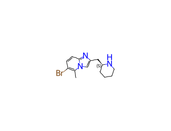 Cc1c(Br)ccc2nc(C[C@@H]3CCCCN3)cn12